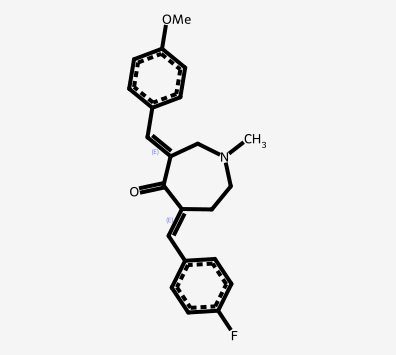 COc1ccc(/C=C2\CN(C)CC/C(=C\c3ccc(F)cc3)C2=O)cc1